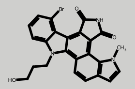 Cn1ccc2ccc3c(c4c(c5c6c(Br)cccc6n(CCCO)c35)C(=O)NC4=O)c21